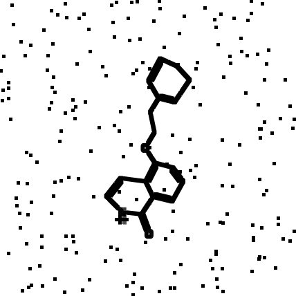 O=c1[nH]ccc2c(OCCC3=CCCC=C3)cccc12